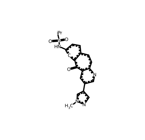 CC(C)S(=O)(=O)Nc1ccc2ccc3ncc(-c4cnn(C)c4)cc3c(=O)c2c1